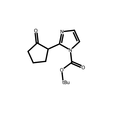 CC(C)(C)OC(=O)n1ccnc1C1CCCC1=O